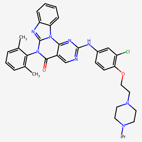 Cc1cccc(C)c1-n1c(=O)c2cnc(Nc3ccc(OCCN4CCN(C(C)C)CC4)c(Cl)c3)nc2n2c3ccccc3nc12